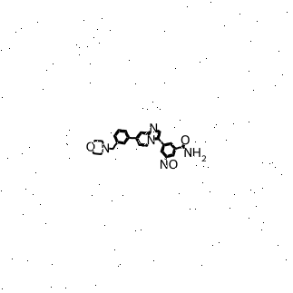 NC(=O)c1cc(N=O)cc(-c2cnc3cc(-c4cccc(CN5CCOCC5)c4)ccn23)c1